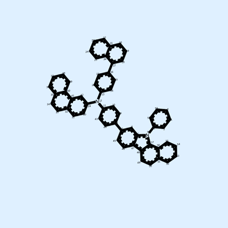 c1ccc(-n2c3cc(-c4ccc(N(c5ccc(-c6cccc7ccccc67)cc5)c5ccc6ccc7ccccc7c6c5)cc4)ccc3c3ccc4ccccc4c32)cc1